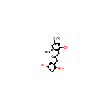 COc1cc(O)c(CC(=O)Cc2cc(O)ccc2O)c(OC)c1